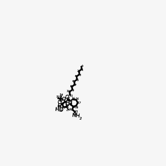 CCCCCCCCCCCCOC(N1CCCCC(CCN)C1)[C@@]12O[C@@H](C)[C@@H](O)[C@@H]1OC(C)(C)O2